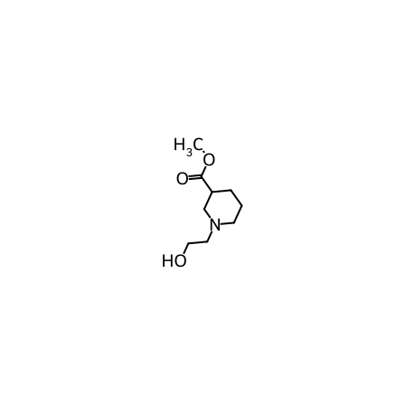 COC(=O)C1CCCN(CCO)C1